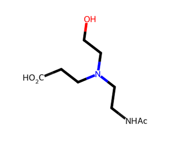 CC(=O)NCCN(CCO)CCC(=O)O